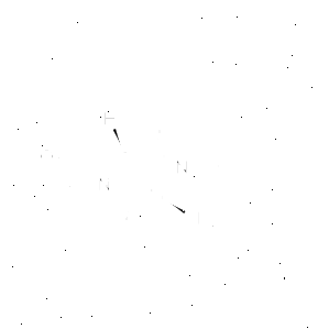 CC(=O)N1C[C@@H]2C[C@H]1CN2CC(C)C